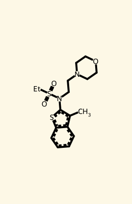 CCS(=O)(=O)N(CCN1CCOCC1)c1sc2ccccc2c1C